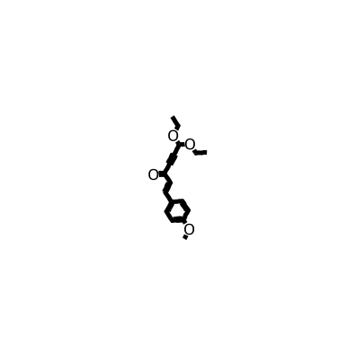 CCOC(C#CC(=O)/C=C/c1ccc(OC)cc1)OCC